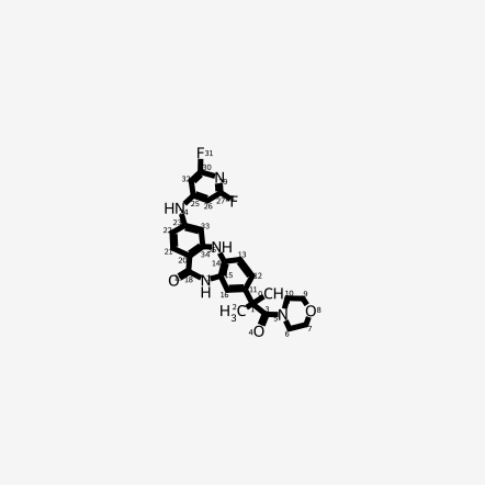 CC(C)(C(=O)N1CCOCC1)c1ccc2c(c1)NC(=O)c1ccc(Nc3cc(F)nc(F)c3)cc1N2